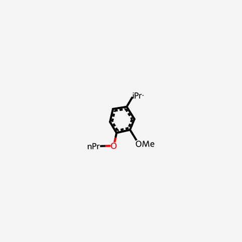 CCCOc1ccc([C](C)C)cc1OC